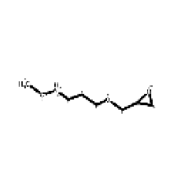 CO[SiH2]CCCOCC1CO1